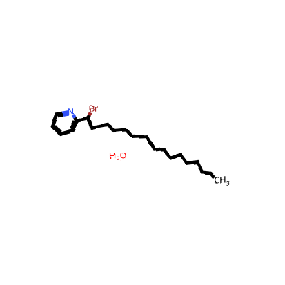 CCCCCCCCCCCCCCCC(Br)c1ccccn1.O